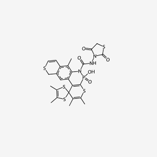 CC1=C(C)SC2(S1)C(C)=C(C)SC1=C2c2cc3c(c(C)c2N(C(=O)NN2C(=O)CSC2=O)P1(=O)O)C=CSC3